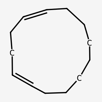 C1=CCCCCCCCC=CCC1